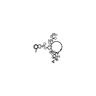 CC(C)(C)OC(=O)NC1CCCCC/C=C\C2CC2(C(=O)NS(=O)(=O)C2CC2)NC(=O)C2CC(OC(=O)N3Cc4cccc(F)c4C3)CN2C1=O